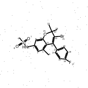 Cc1cc(NS(C)(=O)=O)cc2c1C(c1ccc(F)cc1)=C(Br)C(C)(C)O2